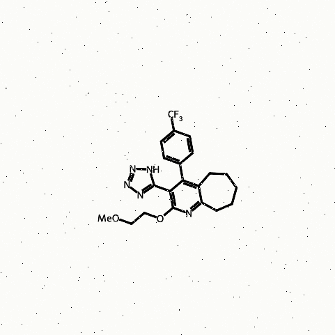 COCCOc1nc2c(c(-c3ccc(C(F)(F)F)cc3)c1-c1nnn[nH]1)CCCCC2